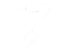 CCC(=O)Nc1cccc(C)c1COc1ccc(C)cc1C